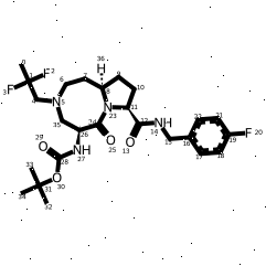 CC(F)(F)CN1CC[C@H]2CC[C@@H](C(=O)NCc3ccc(F)cc3)N2C(=O)[C@@H](NC(=O)OC(C)(C)C)C1